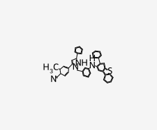 CC1C=C(C2=CC(c3ccccc3)NN2Cc2cccc(Nc3cc4c(cc3-c3ccccc3)sc3ccccc34)c2)C=CC1C#N